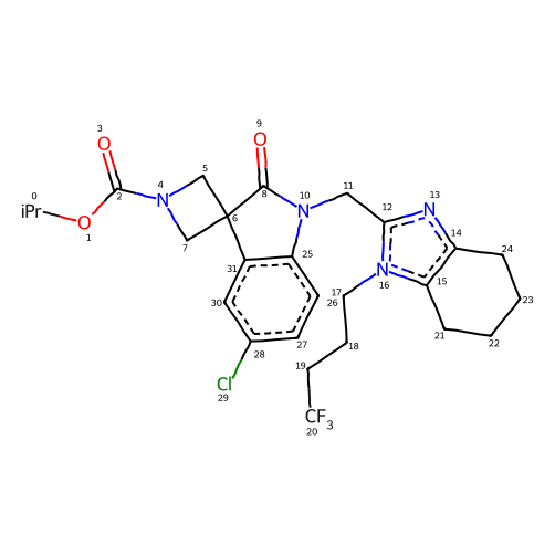 CC(C)OC(=O)N1CC2(C1)C(=O)N(Cc1nc3c(n1CCCC(F)(F)F)CCCC3)c1ccc(Cl)cc12